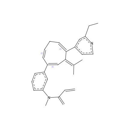 C=CC(=C)N(C)c1cccc(C2=C/C(=C(C)C)/C(c3ccnc(CC)c3)=C\C/C=C\2)c1